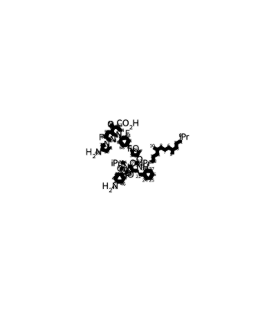 CC(C)CCCC(C)CCCC(C)CCCC(C)C.CC(C)CN(C[C@@H](O)[C@H](Cc1ccccc1)NC(=O)O[C@H]1CCOC1)S(=O)(=O)c1ccc(N)cc1.NC1CCN(c2nc3c(cc2F)c(=O)c(C(=O)O)cn3-c2ccc(F)cc2F)C1